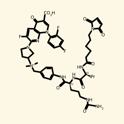 CC(C)[C@H](NC(=O)CCCCCN1C(=O)C=CC1=O)C(=O)N[C@@H](CCCNC(N)=O)C(=O)Nc1ccc(C[N+](C)(C)C2CCN(c3nc4c(cc3F)c(=O)c(C(=O)O)cn4-c3ccc(F)cc3F)C2)cc1